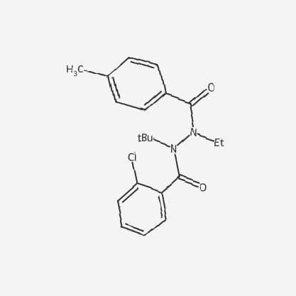 CCN(C(=O)c1ccc(C)cc1)N(C(=O)c1ccccc1Cl)C(C)(C)C